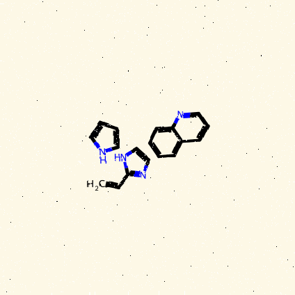 C=Cc1ncc[nH]1.c1cc[nH]c1.c1ccc2ncccc2c1